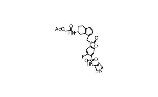 CC(=O)OCC(=O)N[C@H]1CCc2cccc(Cn3c(=O)oc4cc(S(=O)(=O)Nc5ncns5)c(F)cc43)c2C1